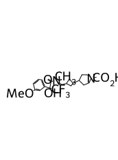 COc1cccc(C(O)(C(=O)N(C)CC2CC(C3CCN(C(=O)O)CC3)C2)C(F)(F)F)c1